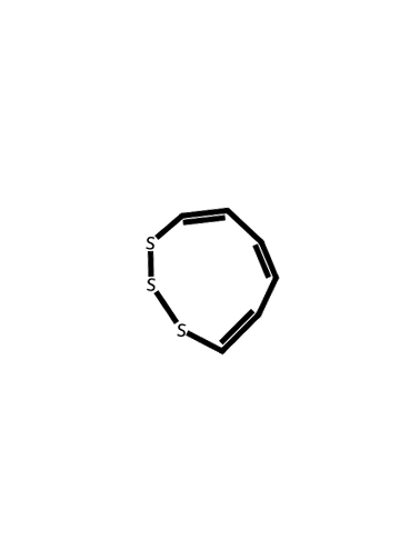 C1=CC=CSSSC=C1